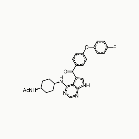 CC(=O)N[C@H]1CC[C@@H](Nc2ncnc3[nH]cc(C(=O)c4ccc(Oc5ccc(F)cc5)cc4)c23)CC1